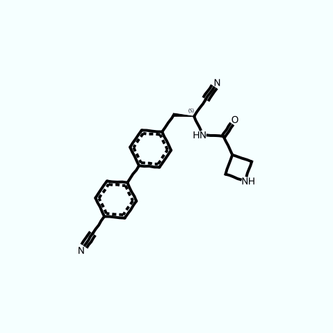 N#Cc1ccc(-c2ccc(C[C@@H](C#N)NC(=O)C3CNC3)cc2)cc1